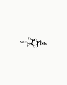 CC[C@H](OC(=O)NC(C)(C)C)C(=O)N(C)OC